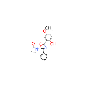 COc1ccc(O)c(-c2nc(-c3ccccc3)c(N3CCCC3=O)o2)c1